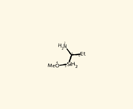 CCC(N)[SiH2]OC